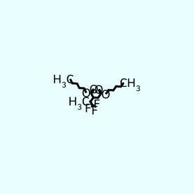 CCCCCOC(=O)CC(C(=O)OCCCCC)C(C)C(F)(F)F